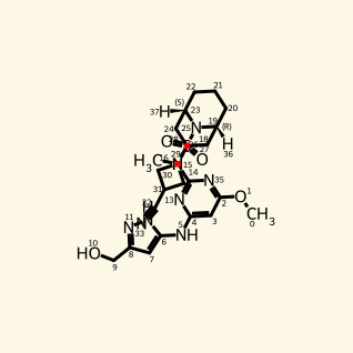 COc1cc(Nc2cc(CO)n[nH]2)nc(N(C)C2C[C@H]3CCC[C@@H](C2)N3S(=O)(=O)N2CC(C#N)C2)n1